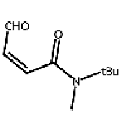 CN(C(=O)/C=C\C=O)C(C)(C)C